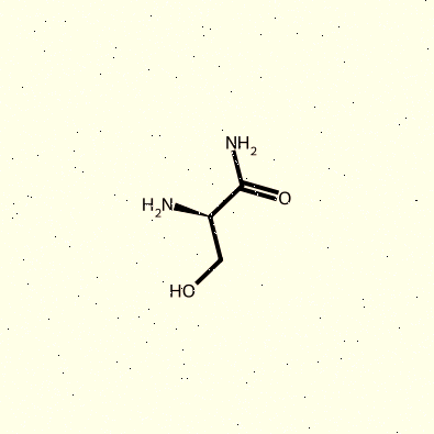 NC(=O)[C@H](N)CO